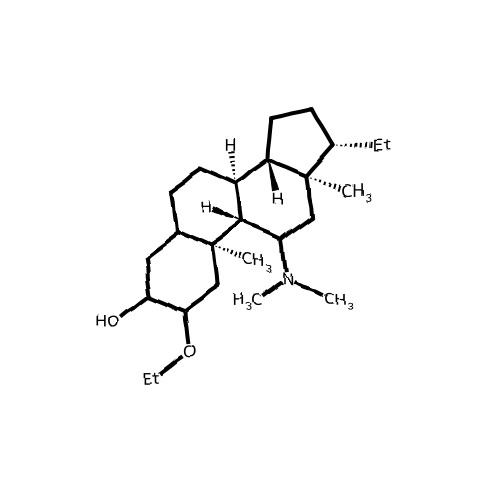 CCOC1C[C@@]2(C)C(CC[C@H]3[C@@H]4CC[C@H](CC)[C@@]4(C)CC(N(C)C)[C@@H]32)CC1O